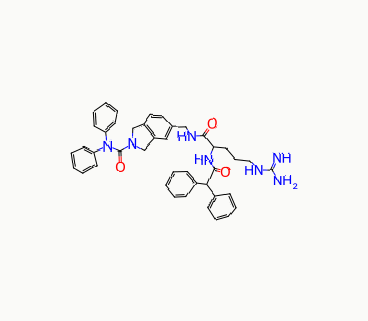 N=C(N)NCCCC(NC(=O)C(c1ccccc1)c1ccccc1)C(=O)NCc1ccc2c(c1)CN(C(=O)N(c1ccccc1)c1ccccc1)C2